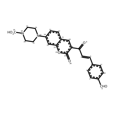 O=Cc1ccc(C=CC(=O)c2cc3ccc(N4CCN(C(=O)O)CC4)cc3oc2=O)cc1